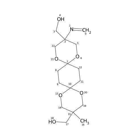 C=NC1(CO)COC2(CCC3(CC2)OCC(C)(CO)CO3)OC1